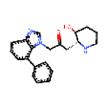 O=C(C[C@H]1NCCC[C@@H]1O)Cn1cnc2cccc(-c3ccccc3)c21